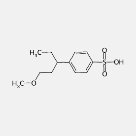 CCC(CCOC)c1ccc(S(=O)(=O)O)cc1